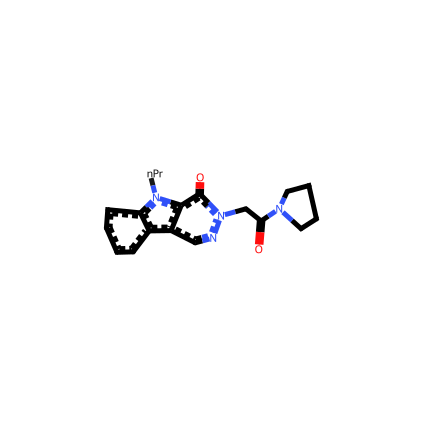 CCCn1c2ccccc2c2cnn(CC(=O)N3CCCC3)c(=O)c21